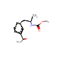 COC(=O)c1cccc(CC(C)NC(=O)OC(C)(C)C)c1